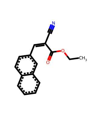 CCOC(=O)C(C#N)=Cc1ccc2ccccc2c1